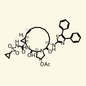 CC(=O)O[C@@H]1C[C@H]2C(=O)N[C@]3(C(=O)NS(=O)(=O)C4CC4)C[C@H]3/C=C\CCCCC[C@H](Nc3nc(-c4ccccc4)c(-c4ccccc4)s3)C(=O)N2C1